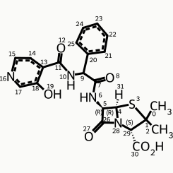 CC1(C)S[C@@H]2[C@H](NC(=O)C(NC(=O)c3ccncc3O)c3ccccc3)C(=O)N2[C@H]1C(=O)O